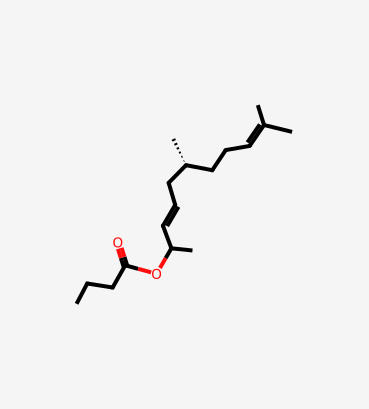 CCCC(=O)OC(C)C=CC[C@H](C)CCC=C(C)C